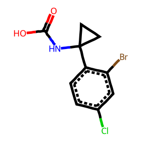 O=C(O)NC1(c2ccc(Cl)cc2Br)CC1